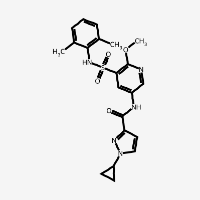 COc1ncc(NC(=O)c2ccn(C3CC3)n2)cc1S(=O)(=O)Nc1c(C)cccc1C